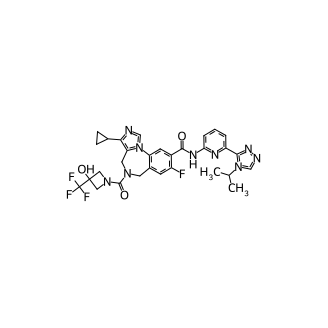 CC(C)n1cnnc1-c1cccc(NC(=O)c2cc3c(cc2F)CN(C(=O)N2CC(O)(C(F)(F)F)C2)Cc2c(C4CC4)ncn2-3)n1